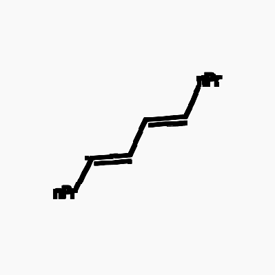 CCC/[C]=C/C=CCCC